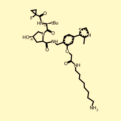 Cc1ncsc1-c1ccc(CNC(=O)C2C[C@@H](O)CN2C(=O)[C@@H](NC(=O)C2(F)CC2)C(C)(C)C)c(OCC(=O)NCCCCCCCCN)c1